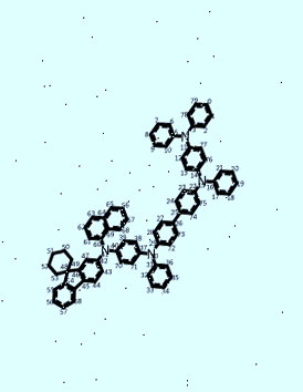 c1ccc(N(c2ccccc2)c2ccc(N(c3ccccc3)c3ccc(-c4ccc(N(c5ccccc5)c5ccc(N(c6ccc7c(c6)C6(CCCCC6)c6ccccc6-7)c6cccc7ccccc67)cc5)cc4)cc3)cc2)cc1